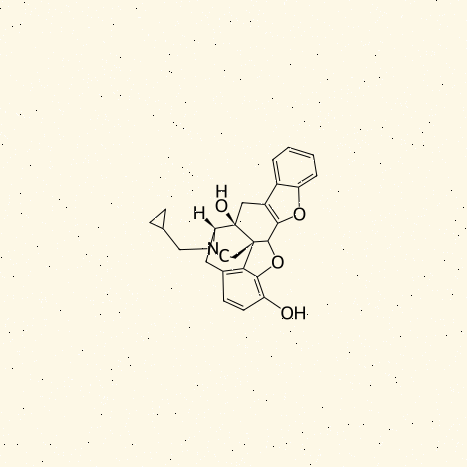 Oc1ccc2c3c1OC1c4oc5ccccc5c4C[C@@]4(O)[C@@H](C2)N(CC2CC2)CC[C@]314